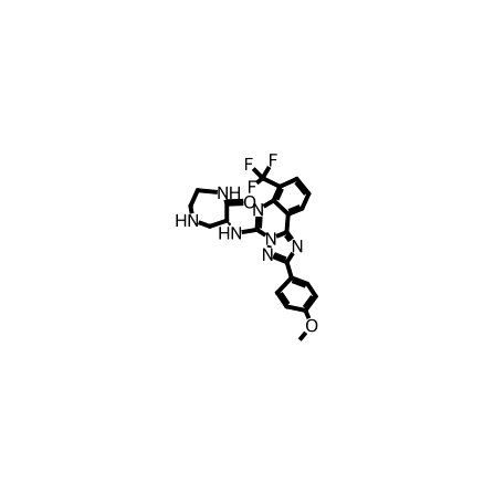 COc1ccc(-c2nc3c4cccc(C(F)(F)F)c4nc(N[C@@H]4CNCCNC4=O)n3n2)cc1